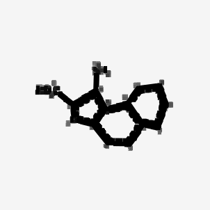 CCOC(=O)c1oc2ccc3ccccc3c2c1N